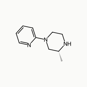 C[C@@H]1CN(c2ccccn2)CCN1